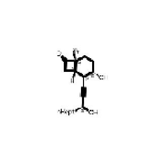 CCCCCCC[C@H](O)C#C[C@@H]1[C@@H](O)CC[C@@]2(C(C)C)C(=O)C[C@@H]12